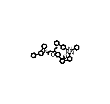 C=Cc1c(/C=C(\C)n2c3ccccc3c3cc(-c4ccccc4)ccc32)oc2cc(-c3cccc4c3oc3c(-c5nc(-c6ccccc6)nc(-c6ccc(-c7ccccc7)cc6)n5)cccc34)ccc12